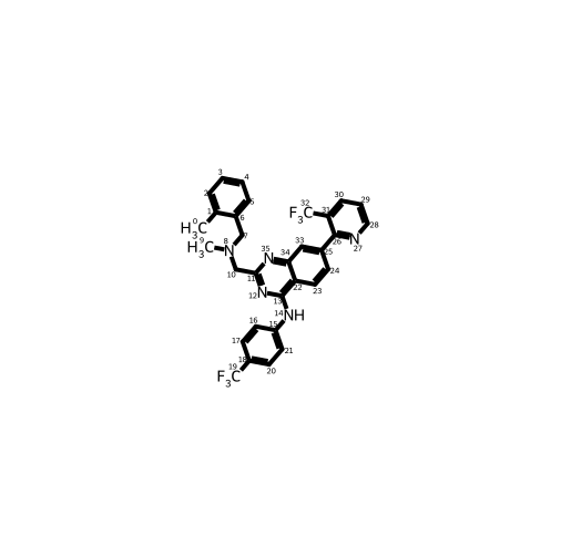 Cc1ccccc1CN(C)Cc1nc(Nc2ccc(C(F)(F)F)cc2)c2ccc(-c3ncccc3C(F)(F)F)cc2n1